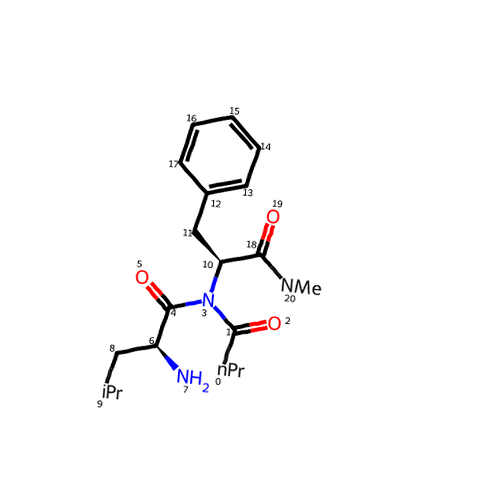 CCCC(=O)N(C(=O)[C@@H](N)CC(C)C)[C@@H](Cc1ccccc1)C(=O)NC